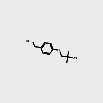 CC(C)(O)CSc1ccc(CC(=O)O)cc1